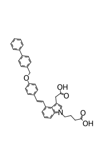 O=C(O)CCCn1cc(CC(=O)O)c2c(C=Cc3ccc(OCc4ccc(-c5ccccc5)cc4)cc3)cccc21